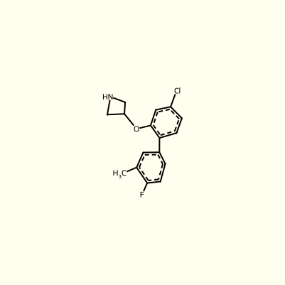 Cc1cc(-c2ccc(Cl)cc2OC2CNC2)ccc1F